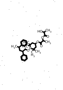 CC(O)C(=O)OC(C)C(=O)OC1CC(C)(C)N(OCC(CC(C)c2ccccc2)c2ccccc2)C(C)(C)C1